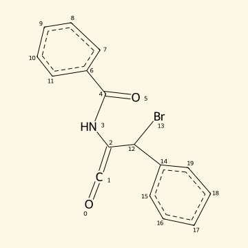 O=C=C(NC(=O)c1ccccc1)C(Br)c1ccccc1